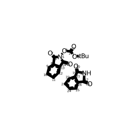 CC(C)(C)OC(=O)ON1C(=O)c2ccccc2C1=O.O=C1NC(=O)c2ccccc21